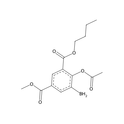 Bc1cc(C(=O)OC)cc(C(=O)OCCCC)c1OC(C)=O